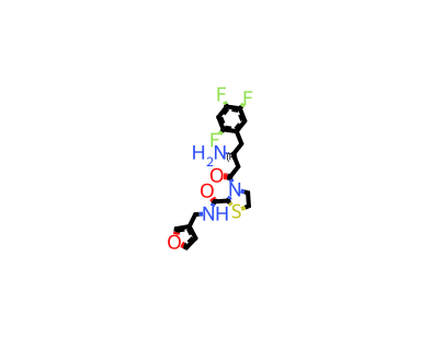 N[C@@H](CC(=O)N1CCSC1C(=O)NCc1ccoc1)Cc1cc(F)c(F)cc1F